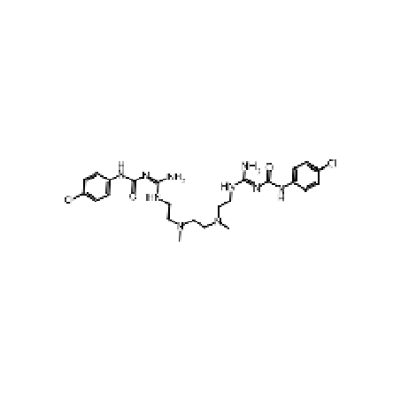 CN(CCNC(N)=NC(=O)Nc1ccc(Cl)cc1)CCN(C)CCNC(N)=NC(=O)Nc1ccc(Cl)cc1